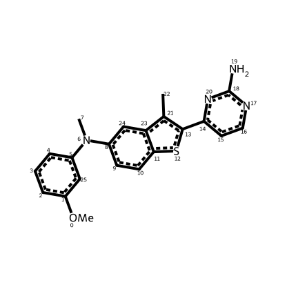 COc1cccc(N(C)c2ccc3sc(-c4ccnc(N)n4)c(C)c3c2)c1